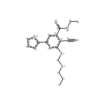 CCCSCSc1nc(-c2cccs2)cc(C(=O)OCC)c1C#N